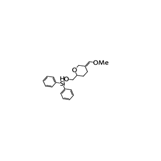 COC=C1CCC(CO[SiH](c2ccccc2)c2ccccc2)OC1